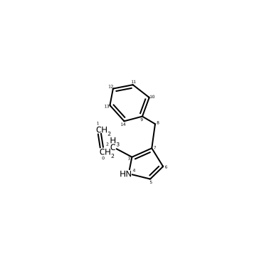 C=C.Cc1[nH]ccc1Cc1ccccc1